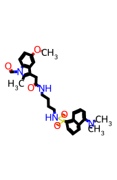 COc1ccc2c(c1)c(CC(=O)NCCCCNS(=O)(=O)c1cccc3c(N(C)C)cccc13)c(C)n2C=O